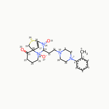 Cc1ccccc1N1CCN(CCC2[N+](=O)C3=CC4(CS3)C(=O)CCC[N+]24[O-])CC1